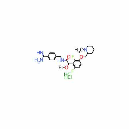 CCOC(C(=O)NCc1ccc(C(=N)N)cc1)c1c(F)ccc(OCC2CCCCN2C)c1F.Cl.Cl